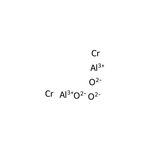 [Al+3].[Al+3].[Cr].[Cr].[O-2].[O-2].[O-2]